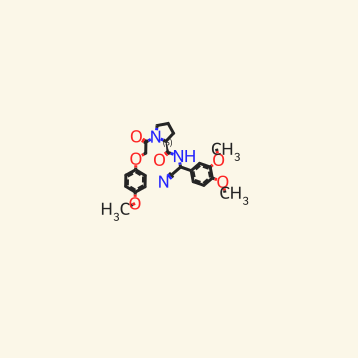 COc1ccc(OCC(=O)N2CCC[C@H]2C(=O)NC(C#N)c2ccc(OC)c(OC)c2)cc1